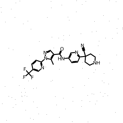 Cc1c(C(=O)Nc2ccc(C3(C#N)CCNCC3)nc2)cnn1-c1ccc(C(F)(F)F)cn1